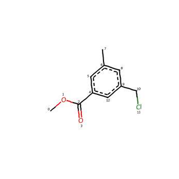 COC(=O)c1cc(C)cc(CCl)c1